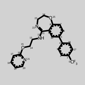 FC(F)(F)c1ccc(-c2ccc3c(c2)C(NCCOc2ccccn2)=NCCO3)cc1